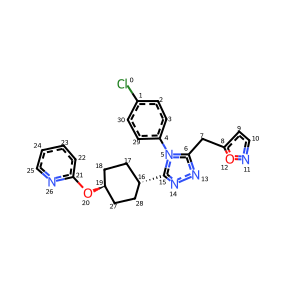 Clc1ccc(-n2c(Cc3ccno3)nnc2[C@H]2CC[C@H](Oc3ccccn3)CC2)cc1